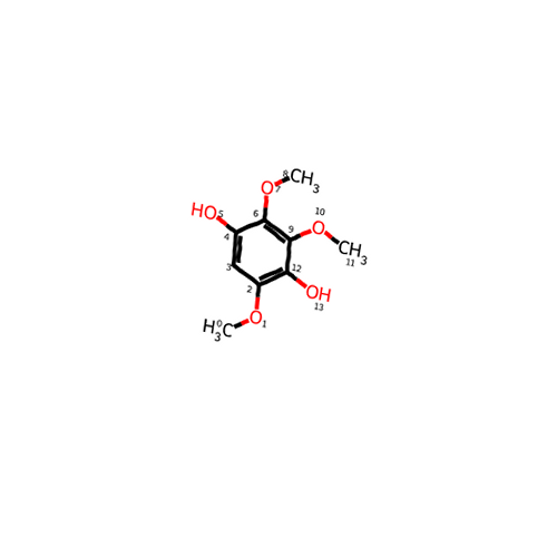 COc1cc(O)c(OC)c(OC)c1O